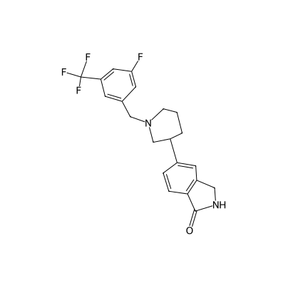 O=C1NCc2cc(C3CCCN(Cc4cc(F)cc(C(F)(F)F)c4)C3)ccc21